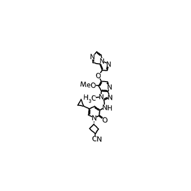 COc1c(Oc2cnn3ccncc23)cnc2nc(Nc3cc(C4CC4)cn([C@H]4C[C@H](C#N)C4)c3=O)n(C)c12